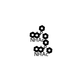 CC(=O)Nc1cccc2[c]c(P(c3ccccc3)c3ccccc3)ccc12.CC(=O)Nc1cccc2[c]c(P(c3ccccc3)c3ccccc3)ccc12